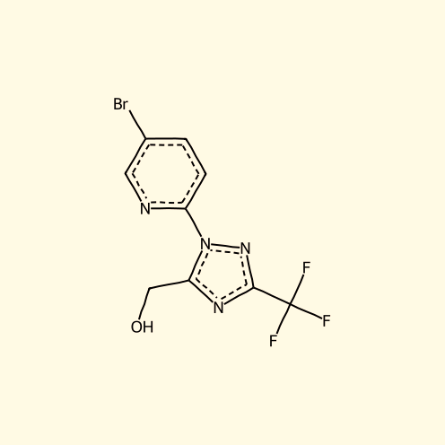 OCc1nc(C(F)(F)F)nn1-c1ccc(Br)cn1